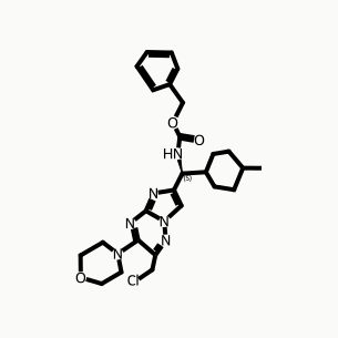 CC1CCC([C@H](NC(=O)OCc2ccccc2)c2cn3nc(CCl)c(N4CCOCC4)nc3n2)CC1